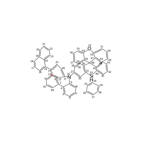 c1ccc(-c2ccccc2N(c2ccc(-c3cccc4ccccc34)cc2)c2ccc3c(c2)[SiH](c2ccccc2)c2ccccc2C32c3ccccc3Oc3ccccc32)cc1